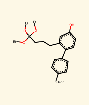 CCCCCCCc1ccc(-c2ccc(O)cc2CCC[Si](OCC)(OCC)OCC)cc1